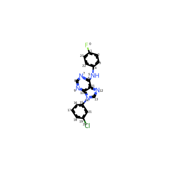 Fc1ccc(Nc2ncnc3c2ncn3-c2cccc(Cl)c2)cc1